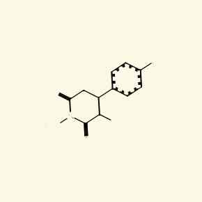 CCOC(=O)C1C(=O)N(C)C(=O)CC1c1ccc(F)cc1